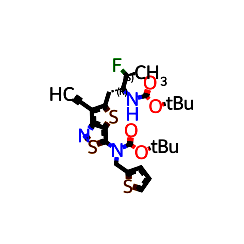 C#Cc1c(C[C@@H](NC(=O)OC(C)(C)C)[C@H](C)F)sc2c(N(Cc3cccs3)C(=O)OC(C)(C)C)snc12